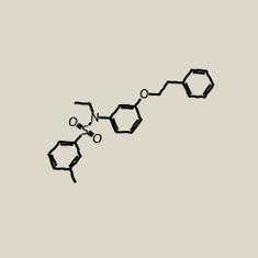 CCN(c1cccc(OCCc2ccccc2)c1)S(=O)(=O)c1cccc(C)c1